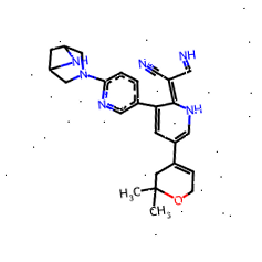 CC1(C)CC(C2=CN/C(=C(/C#N)C=N)C(c3ccc(N4CC5CC(C4)N5)nc3)=C2)=CCO1